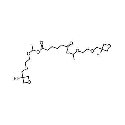 CCC1(COCCOC(C)OC(=O)CCCCC(=O)OC(C)OCCOCC2(CC)COC2)COC1